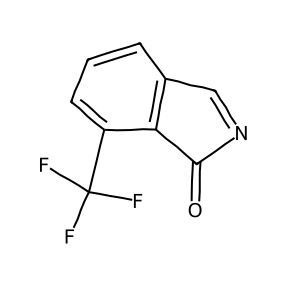 O=C1N=Cc2cccc(C(F)(F)F)c21